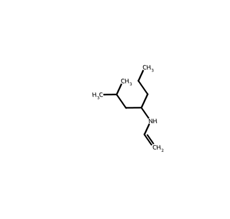 C=CNC(CCC)CC(C)C